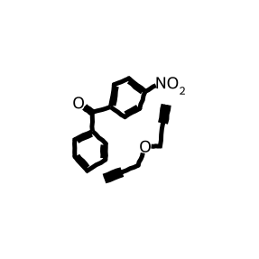 C#CCOCC#C.O=C(c1ccccc1)c1ccc([N+](=O)[O-])cc1